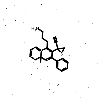 C#CC1(C2=C(CCCN)C3=CC=CCC3(C)C=C2c2ccccc2)CS1